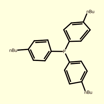 CCCCc1ccc(P(c2ccc(CCCC)cc2)c2ccc(CCCC)cc2)cc1